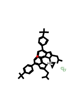 CC(C)CC1=Cc2c(-c3ccc(C(C)(C)C)cc3)cccc2[CH]1[Hf+2]1([CH]2C(CC(C)C)=Cc3c(-c4ccc(C(C)(C)C)cc4)cccc32)[CH2][CH2]1.[Cl-].[Cl-]